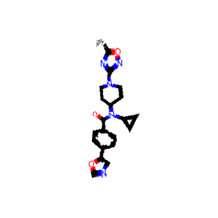 CC(C)c1nc(N2CCC(N(C(=O)c3ccc(-c4cnco4)cc3)C3CC3)CC2)no1